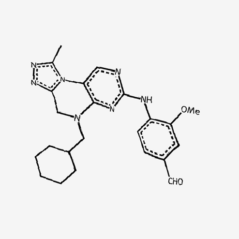 COc1cc(C=O)ccc1Nc1ncc2c(n1)N(CC1CCCCC1)Cc1nnc(C)n1-2